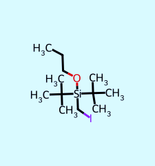 CCCO[Si](CI)(C(C)(C)C)C(C)(C)C